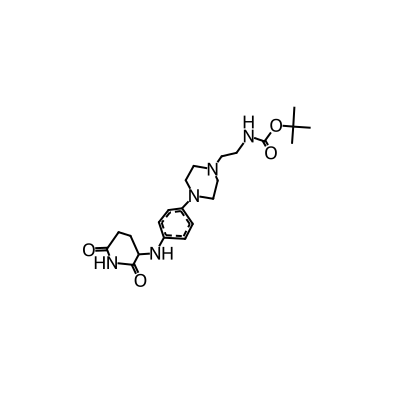 CC(C)(C)OC(=O)NCCN1CCN(c2ccc(NC3CCC(=O)NC3=O)cc2)CC1